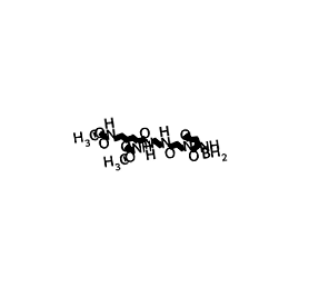 BNC1CC(=O)N(CCC(=O)NCCNC(=O)C(CCCCNC(=O)OC)NC(=O)OC)C1=O